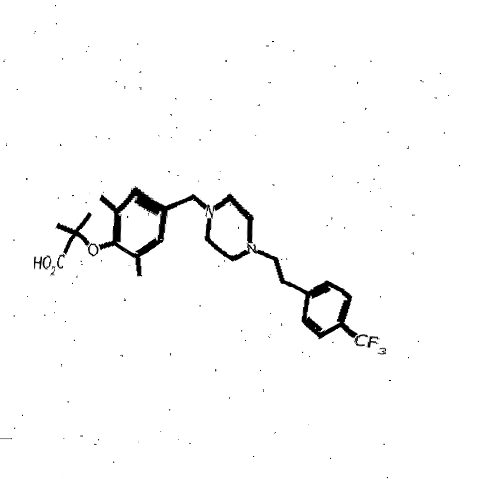 Cc1cc(CN2CCN(CCc3ccc(C(F)(F)F)cc3)CC2)cc(C)c1OC(C)(C)C(=O)O